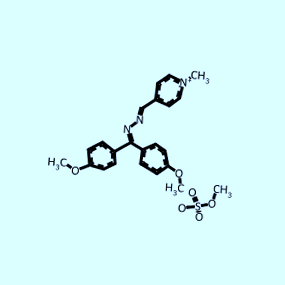 COS(=O)(=O)[O-].COc1ccc(C(=NN=Cc2cc[n+](C)cc2)c2ccc(OC)cc2)cc1